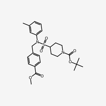 COC(=O)c1ccc(CN(c2cccc(C)c2)S(=O)(=O)C2CCN(C(=O)OC(C)(C)C)CC2)cc1